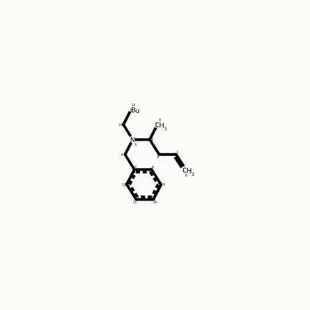 C=CCC(C)N(Cc1ccccc1)CC(C)CC